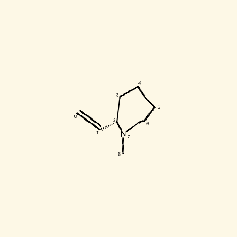 C=C[C@@H]1CCCCN1C